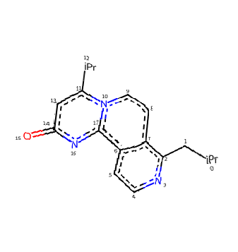 CC(C)Cc1nccc2c1ccn1c(C(C)C)cc(=O)nc21